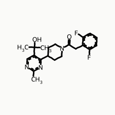 Cc1ncc(C(C)(C)O)c(C2CCN(C(=O)Cc3c(F)cccc3F)CC2)n1